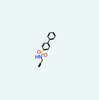 C#CCNS(=O)(=O)c1ccc(-c2ccccc2)cc1